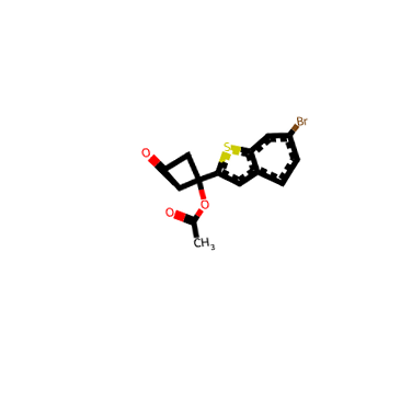 CC(=O)OC1(c2cc3ccc(Br)cc3s2)CC(=O)C1